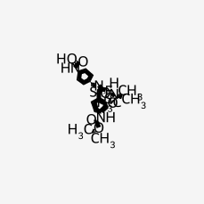 CC(C)OC(=O)Nc1ccc(-c2sc([C@H]3CC[C@H](NC(=O)O)CC3)nc2F)c(S(=O)(=O)NC(C)(C)C)c1